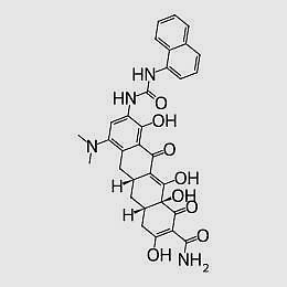 CN(C)c1cc(NC(=O)Nc2cccc3ccccc23)c(O)c2c1C[C@H]1C[C@H]3CC(O)=C(C(N)=O)C(=O)[C@@]3(O)C(O)=C1C2=O